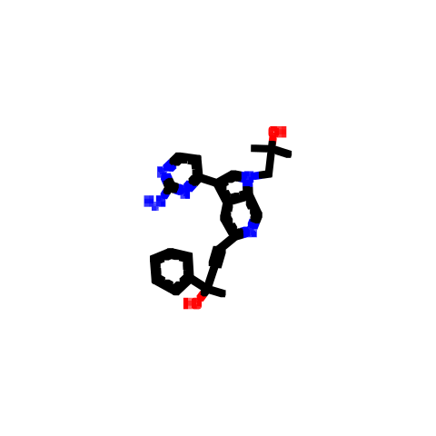 CC(C)(O)Cn1cc(-c2ccnc(N)n2)c2cc(C#CC(C)(O)c3ccccc3)ncc21